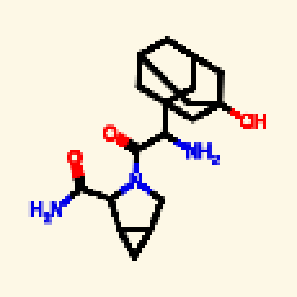 NC(=O)C1C2CC2CN1C(=O)C(N)C12CC3CC(CC(O)(C3)C1)C2